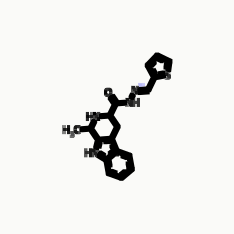 CC1NC(C(=O)N/N=C/c2cccs2)Cc2c1[nH]c1ccccc21